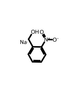 O=[N+]([O-])c1ccccc1CO.[Na]